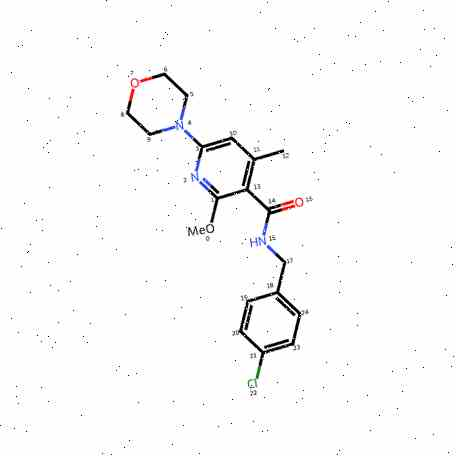 COc1nc(N2CCOCC2)cc(C)c1C(=O)NCc1ccc(Cl)cc1